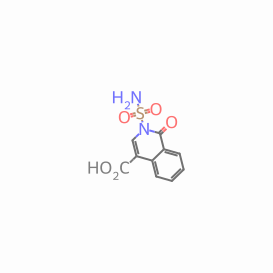 NS(=O)(=O)n1cc(C(=O)O)c2ccccc2c1=O